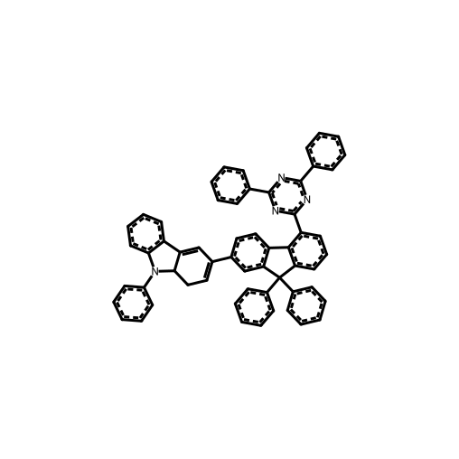 C1=C(c2ccc3c(c2)C(c2ccccc2)(c2ccccc2)c2cccc(-c4nc(-c5ccccc5)nc(-c5ccccc5)n4)c2-3)C=C2c3ccccc3N(c3ccccc3)C2C1